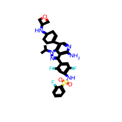 CC(C)n1nc(-c2cc(F)c(NS(=O)(=O)c3ccccc3F)cc2F)c2c(N)ncc(C3=CCC(NC4COC4)CC3)c21